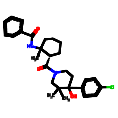 CC1(C)CN(C(=O)[C@H]2CCCC[C@@]2(C)NC(=O)c2ccccc2)CC[C@]1(O)c1ccc(Cl)cc1